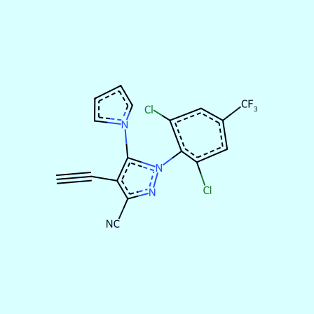 C#Cc1c(C#N)nn(-c2c(Cl)cc(C(F)(F)F)cc2Cl)c1-n1cccc1